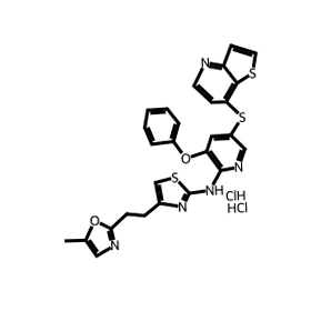 Cc1cnc(CCc2csc(Nc3ncc(Sc4ccnc5ccsc45)cc3Oc3ccccc3)n2)o1.Cl.Cl